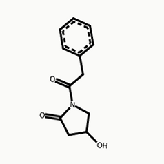 O=C(Cc1ccccc1)N1CC(O)CC1=O